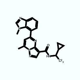 Cc1cc(-c2cccc3ncn(C)c23)nc2c(C(=O)NC(C3CC3)C(F)(F)F)cnn12